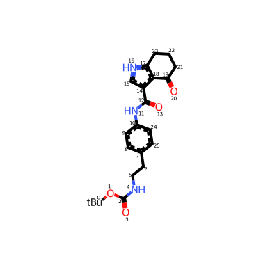 CC(C)(C)OC(=O)NCCc1ccc(NC(=O)c2c[nH]c3c2C(=O)CCC3)cc1